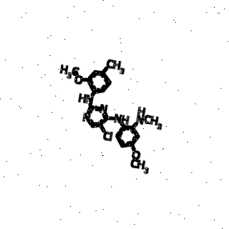 CNc1cc(OC)ccc1Nc1nc(Nc2ccc(C)cc2OC)ncc1Cl